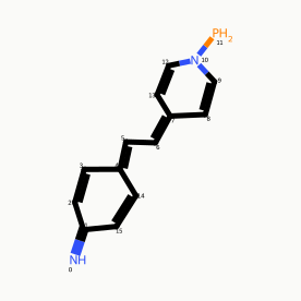 N=C1C=CC(=CC=C2C=CN(P)C=C2)C=C1